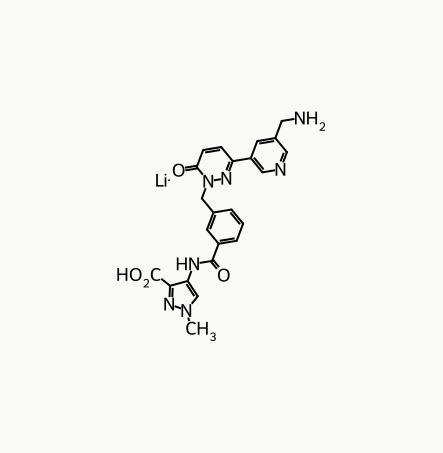 Cn1cc(NC(=O)c2cccc(Cn3nc(-c4cncc(CN)c4)ccc3=O)c2)c(C(=O)O)n1.[Li]